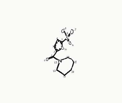 O=C(c1ccc(S(=O)(=O)Cl)o1)N1CCCCC1